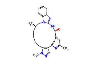 Cc1cc2cc(n1)-c1cnn(C)c1CCCC[C@@H](C)Cn1c(nc3ccccc31)NC2=O